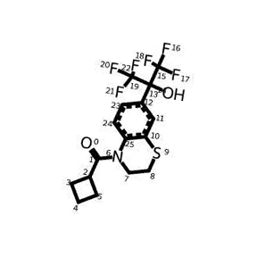 O=C(C1CCC1)N1CCSc2cc(C(O)(C(F)(F)F)C(F)(F)F)ccc21